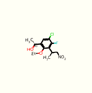 CCOc1c([C@@H](C)O)cc(Cl)c(F)c1C(C)C[N+](=O)[O-]